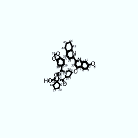 COc1ccc2c(O[C@@H]3C[C@@H](C(=O)NC4(C(=O)O)CCCC4)N(C(=O)c4ccc5c(c4)OCO5)C3)cc(-c3ccc4c(n3)CCCC4)nc2c1